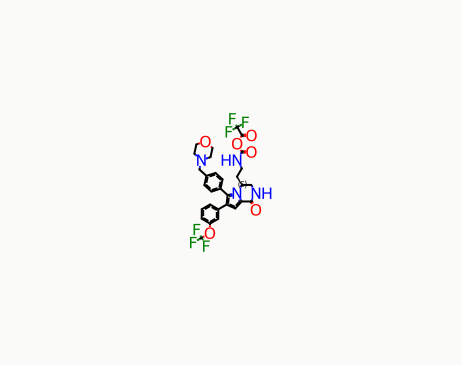 O=C(NCC[C@H]1CNC(=O)c2cc(-c3cccc(OC(F)(F)F)c3)c(-c3ccc(CN4CCOCC4)cc3)n21)OC(=O)C(F)(F)F